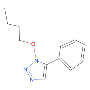 CCCCOn1nn[c]c1-c1ccccc1